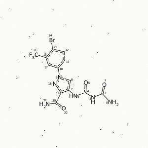 NC(=O)NC(=O)Nc1cn(-c2ccc(Br)c(C(F)(F)F)c2)nc1C(N)=O